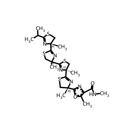 CNC(=O)c1nc([C@]2(C)CSC([C@]3(C)CSC([C@]4(C)CSC([C@@]5(C)CSC(C(C)C)=N5)=N4)=N3)=N2)oc1C